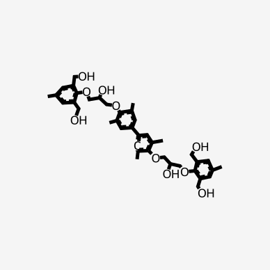 Cc1cc(CO)c(OCC(O)COc2c(C)cc(-c3cc(C)c(OCC(O)COc4c(CO)cc(C)cc4CO)c(C)c3)cc2C)c(CO)c1